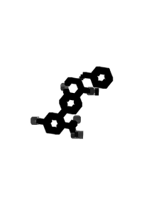 O=C(O)c1ccc(Cl)cc1-c1ccc2c(c1)OC[C@H](Cc1ccccc1)C2O